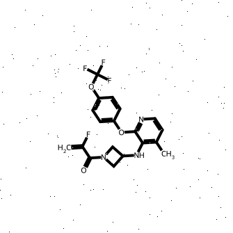 C=C(F)C(=O)N1CC(Nc2c(C)ccnc2Oc2ccc(OC(F)(F)F)cc2)C1